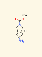 CC(C)(C)OC(=O)N1CC2=C[C@H](N)C[C@@H]2C1